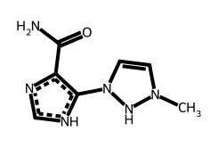 CN1C=CN(c2[nH]cnc2C(N)=O)N1